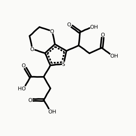 O=C(O)CC(C(=O)O)c1sc(C(CC(=O)O)C(=O)O)c2c1OCCO2